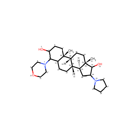 C[C@]12CCC(O)C(N3CCOCC3)C1CC[C@@H]1[C@H]2CC[C@]2(C)C(O)C(N3CCCC3)C[C@@H]12